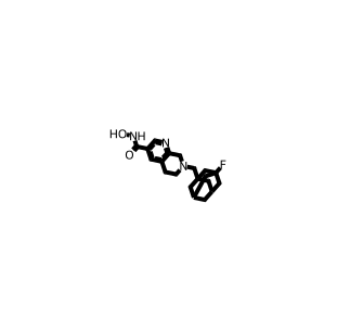 O=C(NO)c1cnc2c(c1)CCN(CC13CC4CC(CC(F)(C4)C1)C3)C2